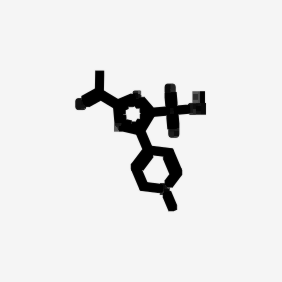 CC(=O)c1nc(C2=CCN(C)C=C2)c(S(=O)(=O)O)s1.I